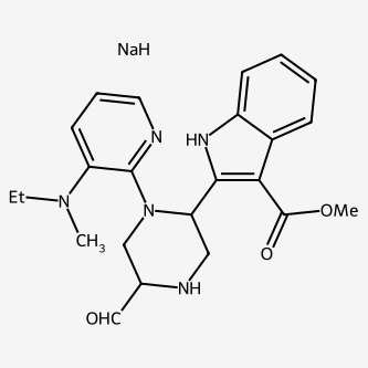 CCN(C)c1cccnc1N1CC(C=O)NCC1c1[nH]c2ccccc2c1C(=O)OC.[NaH]